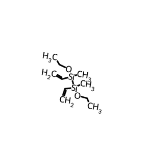 C=C[Si](C)(OCC)[Si](C)(C=C)OCC